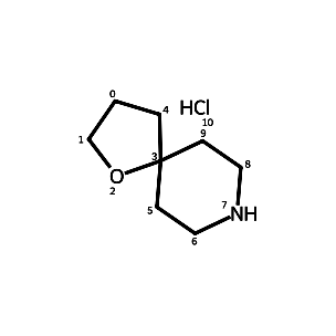 C1COC2(C1)CCNCC2.Cl